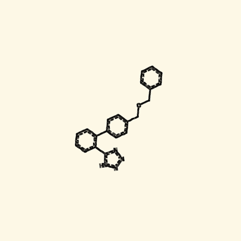 c1ccc(COCc2ccc(-c3ccccc3-c3nnn[nH]3)cc2)cc1